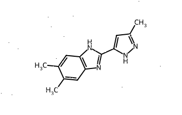 Cc1cc(-c2nc3cc(C)c(C)cc3[nH]2)[nH]n1